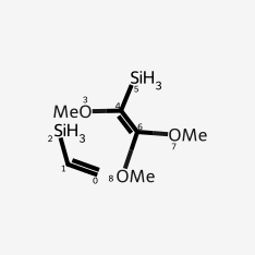 C=C[SiH3].COC([SiH3])=C(OC)OC